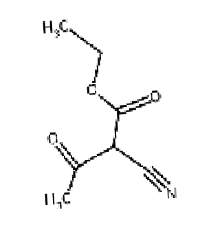 CCOC(=O)C(C#N)C(C)=O